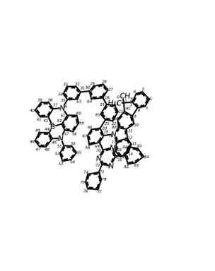 CC1(C)c2ccccc2-c2cc3c4ccccc4n(-c4c(-c5cccc(-c6cccc(-c7cccc(N8c9ccccc9B9c%10ccccc%10N(c%10ccccc%10)c%10cccc8c%109)c7)c6)c5)cccc4-c4nc(-c5ccccc5)nc(-c5ccccc5)n4)c3cc21